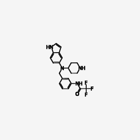 O=C(Nc1cccc(CN(c2ccc3[nH]ccc3c2)C2CCNCC2)c1)C(F)(F)F